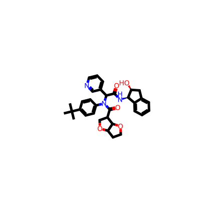 CC(C)(C)c1ccc(N(C(=O)C2COC3CCOC32)C(C(=O)N[C@@H]2c3ccccc3C[C@@H]2O)c2cccnc2)cc1